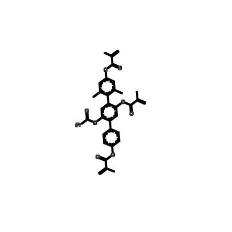 C=C(C)C(=O)Oc1ccc(-c2cc(OC(=O)C(=C)C)c(-c3c(C)cc(OC(=O)C(=C)C)cc3C)cc2OC(=O)C(C)C)cc1